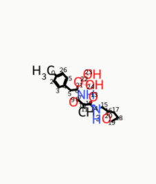 Cc1ccc(CC(NC(=O)C(C)C(=O)NCC2CCCO2)OB(O)O)cc1